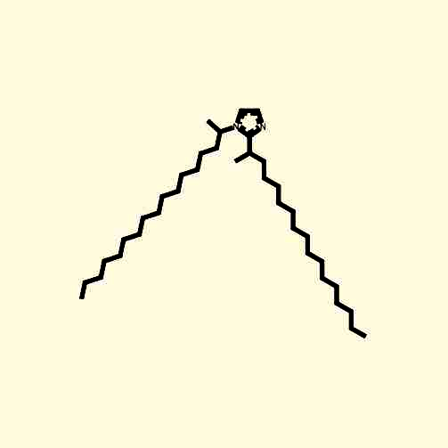 CCCCCCCCCCCCCCCC(C)c1nccn1C(C)CCCCCCCCCCCCCCC